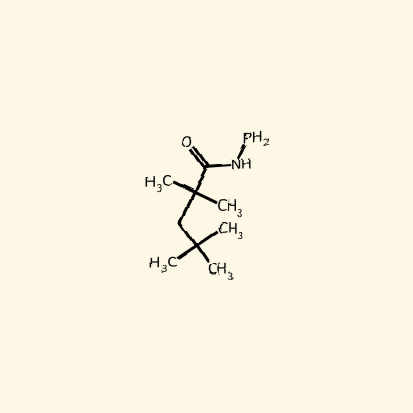 CC(C)(C)CC(C)(C)C(=O)NP